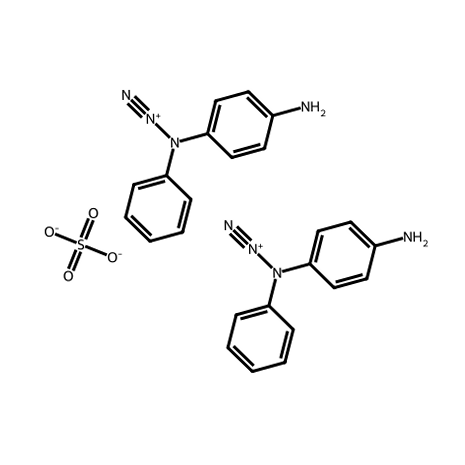 N#[N+]N(c1ccccc1)c1ccc(N)cc1.N#[N+]N(c1ccccc1)c1ccc(N)cc1.O=S(=O)([O-])[O-]